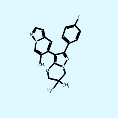 Cc1cn2nccc2cc1-c1c(-c2ccc(F)cc2)nn2c1OCC(C)(C)C2